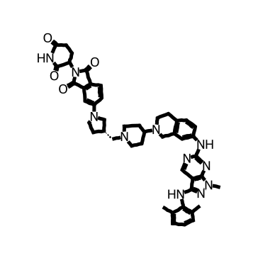 Cc1cccc(C)c1Nc1nn(C)c2nc(Nc3ccc4c(c3)CN(C3CCN(C[C@@H]5CCN(c6ccc7c(c6)C(=O)N(C6CCC(=O)NC6=O)C7=O)C5)CC3)CC4)ncc12